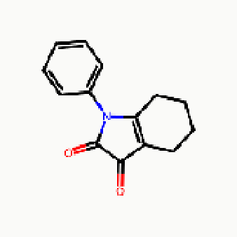 O=C1C(=O)N(c2ccccc2)C2=C1CCCC2